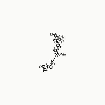 CCc1ccc2c(c1)c(=O)c(C(=O)Nc1ccc(Oc3ncnc4cc(OCCCCCC(=O)Nc5cccc6c5C(=O)N(C5CCC(=O)NC5=O)C6=O)c(OC)cc34)c(F)c1)c(C)n2C